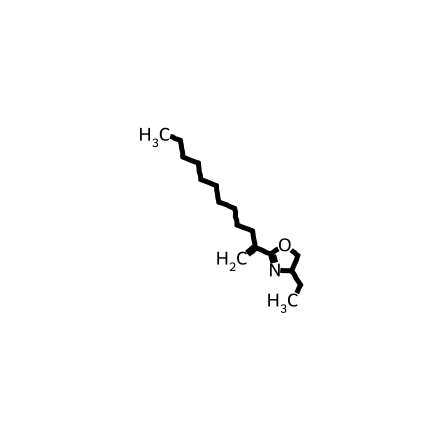 C=C(CCCCCCCCCC)C1=NC(CC)CO1